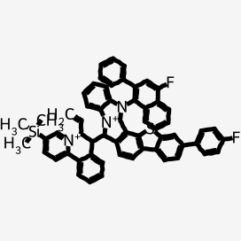 C=CC1C(C2c3ccc4c(sc5cc(-c6ccc(F)cc6)ccc54)c3-c3n(-c4c(-c5ccccc5)cc(F)c5ccccc45)c4ccccc4[n+]32)c2ccccc2-c2ccc([Si](C)(C)C)c[n+]21